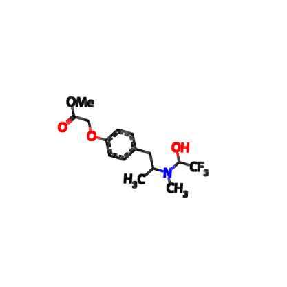 COC(=O)COc1ccc(CC(C)N(C)C(O)C(F)(F)F)cc1